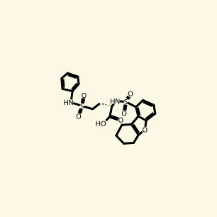 O=C(O)[C@H](CCS(=O)(=O)Nc1ccccc1)NS(=O)(=O)c1cccc2oc3c(c12)CCCC3